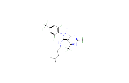 CC(C)CCCNC1=C2C(C(F)(F)F)=NC(C(F)(F)F)=NC2NN1c1c(Cl)cc(C(F)(F)F)cc1Cl